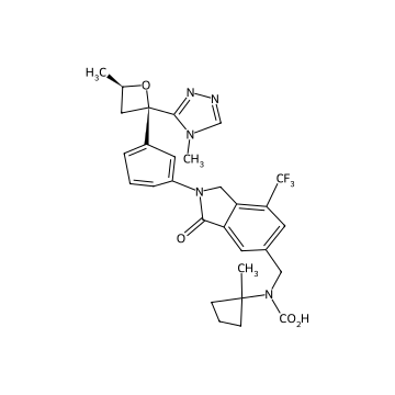 C[C@@H]1C[C@@](c2cccc(N3Cc4c(cc(CN(C(=O)O)C5(C)CCC5)cc4C(F)(F)F)C3=O)c2)(c2nncn2C)O1